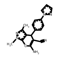 Cc1nn(C)c2c1C(c1ccc(-n3cccn3)cc1)C(C#N)=C(N)O2